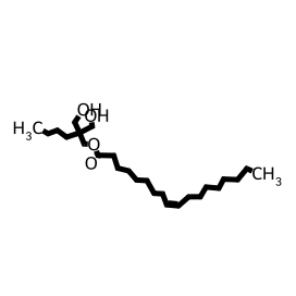 CCCCCCCC/C=C\CCCCCCCC(=O)OCC(CO)(CO)CCCC